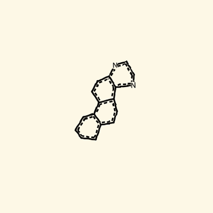 c1ccc2c(c1)ccc1c2ccc2nccnc21